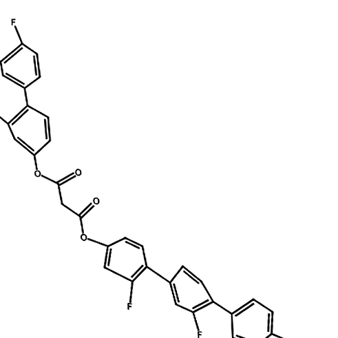 N#Cc1ccc(-c2ccc(-c3ccc(OC(=O)CC(=O)Oc4ccc(-c5ccc(F)cc5)c(F)c4)cc3F)cc2F)cc1